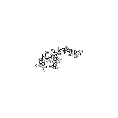 CC[C@H](C)[C@H](C[C@H](O)CC(=O)N[C@H]1C(CO)O[C@@H](OC(=O)CCCC(C)(C)CC2CC(O)CC/C2=C/CC2C(C)(CC)CCC3C2(C)CC[C@H](O)C3(C)C=O)C(O[C@@H]2OC(C)[C@H](O[C@H]3CC(O)(O)[C@H](O)CO3)C(O)C2O)C1O)NC(=O)C[C@@H](O)C[C@H](O[C@@H]1O[C@@H](CO)C(O)C1CO)[C@@H](C)CC